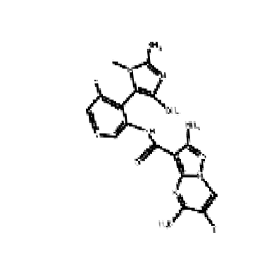 Bc1nc2c(C(=O)Nc3cncc(F)c3-c3c(B)nc(B)n3C)c(N)nn2cc1F